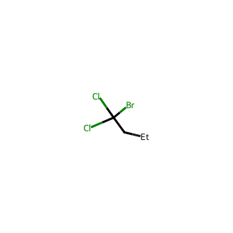 CCCC(Cl)(Cl)Br